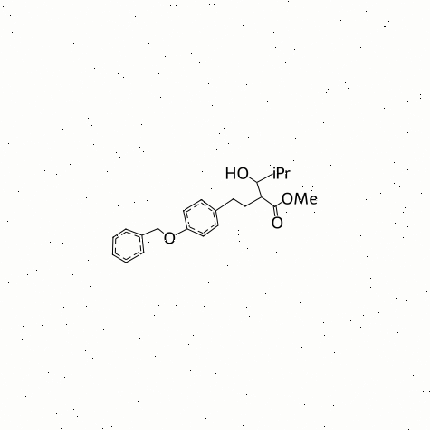 COC(=O)C(CCc1ccc(OCc2ccccc2)cc1)C(O)C(C)C